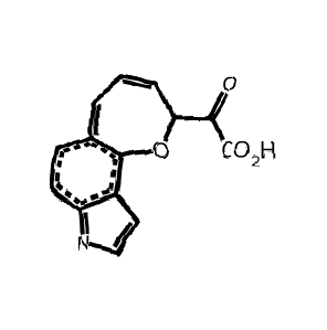 O=C(O)C(=O)C1C=CC=c2ccc3c(c2O1)C=CN=3